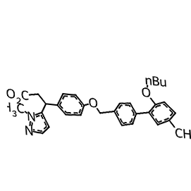 CCCCOc1ccc(C)cc1-c1ccc(COc2ccc(C(CC(=O)O)c3ccnn3C)cc2)cc1